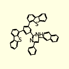 C1=C(c2ccccc2)N=C(c2cc(-c3cccc4c3sc3ccccc34)cc(-c3cccc4c3sc3ccccc34)c2)NC1c1ccc2ccccc2c1